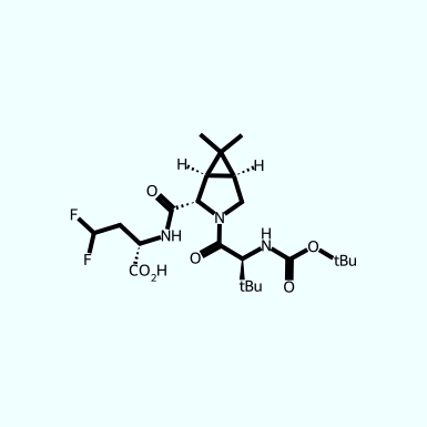 CC(C)(C)OC(=O)N[C@H](C(=O)N1C[C@H]2[C@@H]([C@H]1C(=O)N[C@@H](CC(F)F)C(=O)O)C2(C)C)C(C)(C)C